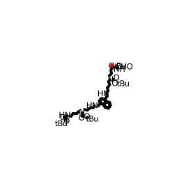 CC(C)COC(CCCN(CCCCNCc1ccc(CNCCCCN(CCCCNC(=O)OC(C)(C)C)C(=O)OC(C)(C)C)c2ccccc12)C(=O)OC(C)(C)C)NC=O